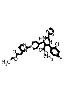 CCOC(=O)Cc1ccnc(N2CCC(C3=C(C(=O)OC)C(c4ccc(F)cc4Cl)N=C(c4nccs4)N3)CC2)n1